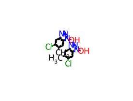 Cc1cc2c(cc1Cl)nnn2O.Cc1cc2nnn(O)c2cc1Cl